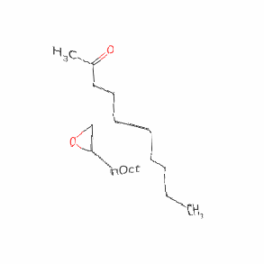 CCCCCCCCC(C)=O.CCCCCCCCC1CO1